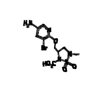 CN1CC(COc2ncc(N)cc2Br)N(C(=O)O)S1(=O)=O